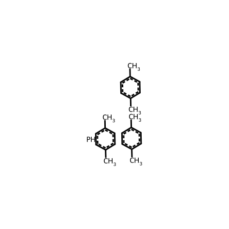 Cc1ccc(C)cc1.Cc1ccc(C)cc1.Cc1ccc(C)cc1.P